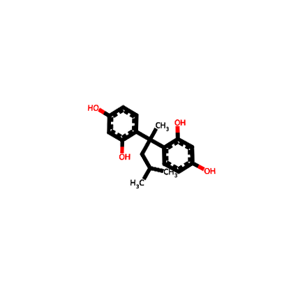 CC(C)CC(C)(c1ccc(O)cc1O)c1ccc(O)cc1O